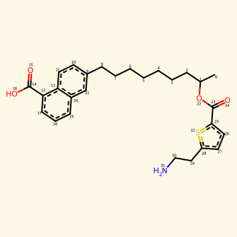 CC(CCCCCCCc1ccc2c(C(=O)O)cccc2c1)OC(=O)c1ccc(CCN)s1